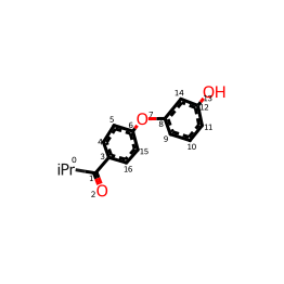 CC(C)C(=O)c1ccc(Oc2cccc(O)c2)cc1